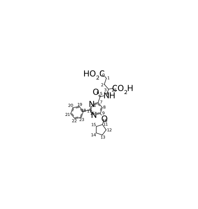 O=C(O)CCC(NC(=O)c1cc(OC2CCCC2)nc(-c2ccccc2)n1)C(=O)O